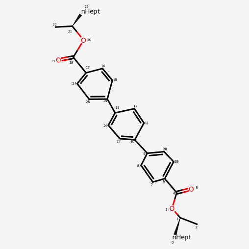 CCCCCCC[C@H](C)OC(=O)c1ccc(-c2ccc(-c3ccc(C(=O)O[C@@H](C)CCCCCCC)cc3)cc2)cc1